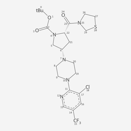 CC(C)(C)OC(=O)N1C[C@@H](N2CCN(c3ncc(C(F)(F)F)cc3Cl)CC2)C[C@H]1C(=O)N1CCSC1